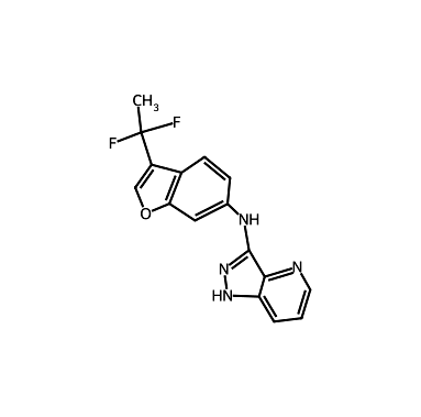 CC(F)(F)c1coc2cc(Nc3n[nH]c4cccnc34)ccc12